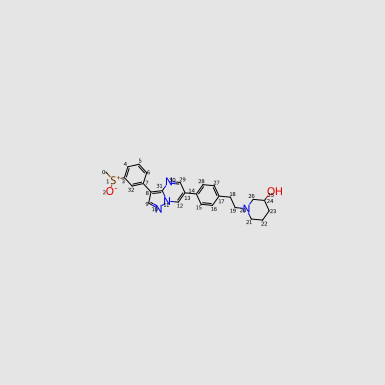 C[S+]([O-])c1cccc(-c2cnn3cc(-c4ccc(CCN5CCCC(O)C5)cc4)cnc23)c1